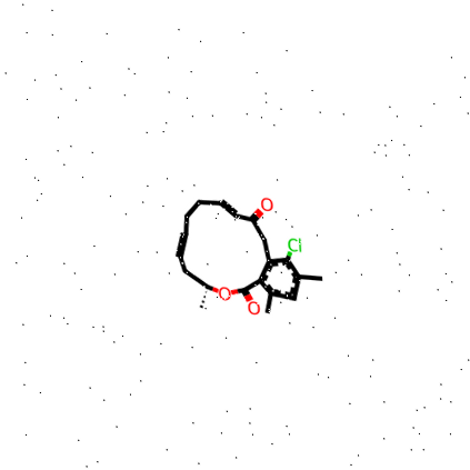 Cc1cc(C)c2c(c1Cl)CC(=O)/C=C/CC/C=C/C[C@@H](C)OC2=O